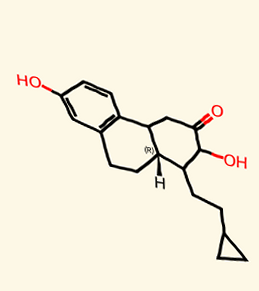 O=C1CC2c3ccc(O)cc3CC[C@H]2C(CCC2CC2)C1O